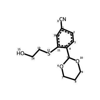 N#Cc1ccc(C2OCCCO2)c(SCCO)c1